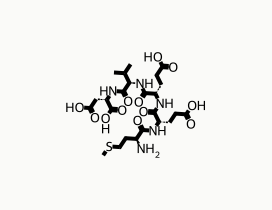 CSCC[C@H](N)C(=O)N[C@@H](CCC(=O)O)C(=O)N[C@@H](CCC(=O)O)C(=O)N[C@H](C(=O)N[C@@H](CC(=O)O)C(=O)O)C(C)C